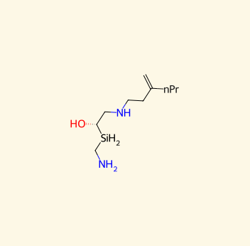 C=C(CCC)CCNC[C@@H](O)[SiH2]CN